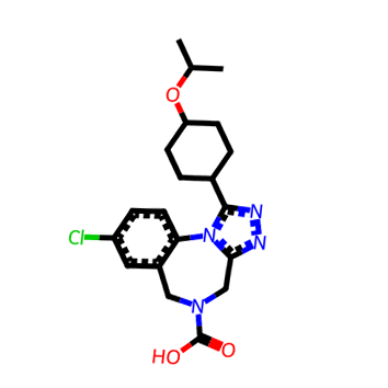 CC(C)OC1CCC(c2nnc3n2-c2ccc(Cl)cc2CN(C(=O)O)C3)CC1